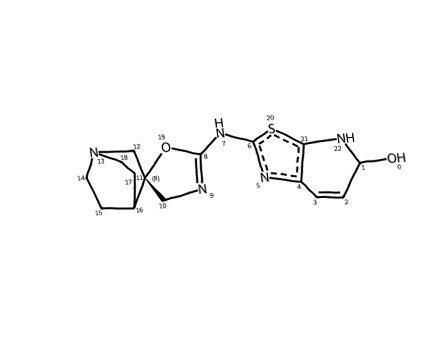 OC1C=Cc2nc(NC3=NC[C@@]4(CN5CCC4CC5)O3)sc2N1